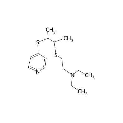 CCN(CC)CCSC(C)C(C)Sc1ccncc1